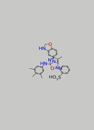 CC1=C2NOC(Nc3cc(C)c(C)c(C)c3)(N=C1)N2c1ccc2c(c1)NCO2.O=S(=O)(O)c1ccccc1